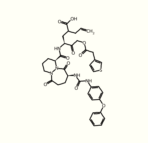 C=CCC(C[C@H](NC(=O)[C@@H]1CCCN2C(=O)CC[C@H](NC(=O)Nc3ccc(Oc4ccccc4)cc3)C(=O)N12)C(=O)COC(=O)Cc1ccsc1)C(=O)O